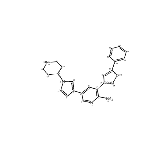 Nc1ncc(-c2cnn(C3CCNCC3)c2)cc1-c1cc(-c2ccccc2)on1